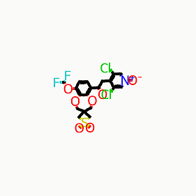 O=C(Cc1c(Cl)c[n+]([O-])cc1Cl)c1ccc(OC(F)F)c2c1OCC1(CO2)CS(=O)(=O)C1